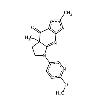 COc1ccc(N2CCC3(C)C(=O)c4cc(C)sc4N=C23)cn1